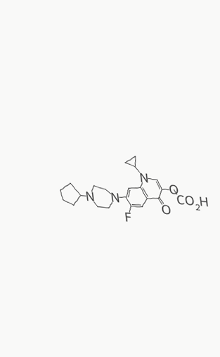 O=C(O)Oc1cn(C2CC2)c2cc(N3CCN(C4CCCC4)CC3)c(F)cc2c1=O